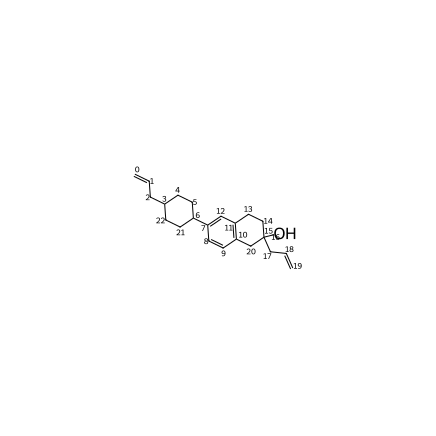 C=CCC1CCC(c2ccc3c(c2)CCC(O)(CC=C)C3)CC1